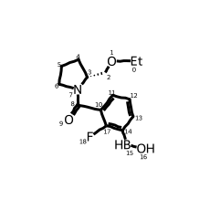 CCOC[C@H]1CCCN1C(=O)c1cccc(BO)c1F